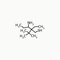 CCC(N)C(CC)(CS)C(C)(C)C